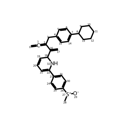 C=C=C(Cc1ccc(C2CCCCC2)cc1)C(=C)C1C=CC=C(c2ccc([S+](C)[O-])cc2)N1